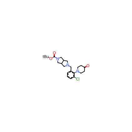 CC(C)(C)OC(=O)N1CC2CN(Cc3cccc(Cl)c3N3CCC(=O)CC3)CC2C1